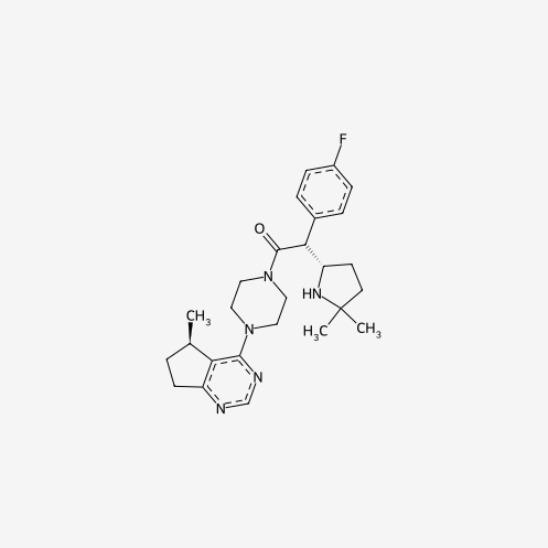 C[C@@H]1CCc2ncnc(N3CCN(C(=O)C(c4ccc(F)cc4)[C@@H]4CCC(C)(C)N4)CC3)c21